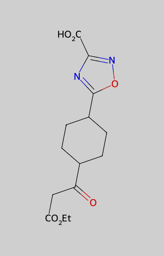 CCOC(=O)CC(=O)C1CCC(c2nc(C(=O)O)no2)CC1